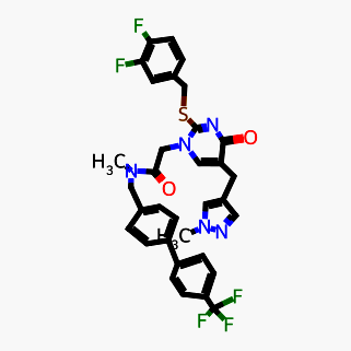 CN(Cc1ccc(-c2ccc(C(F)(F)F)cc2)cc1)C(=O)Cn1cc(Cc2cnn(C)c2)c(=O)nc1SCc1ccc(F)c(F)c1